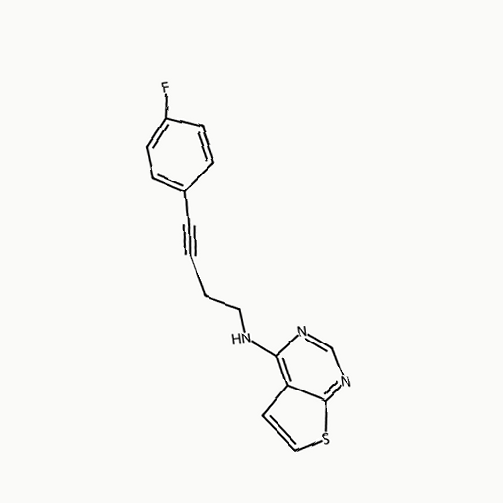 Fc1ccc(C#CCCNc2ncnc3sccc23)cc1